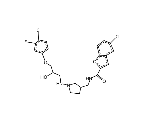 O=C(NCC1CCN(NCC(O)COc2ccc(Cl)c(F)c2)C1)c1cc2cc(Cl)ccc2o1